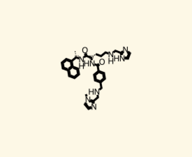 C[C@H](NC(=O)[C@H](CCCNCc1ncc[nH]1)NC(=O)c1ccc(CNCc2nccn2C)cc1)c1cccc2ccccc12